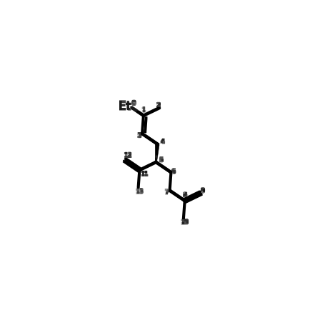 [CH2]C/C(C)=C/C[C@@H](CCC(=C)C)C(=C)C